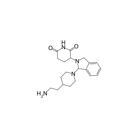 NCCC1CCN(C2c3ccccc3CN2C2CCC(=O)NC2=O)CC1